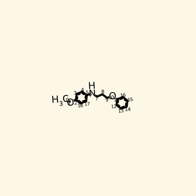 COc1ccc(NCCCOc2ccccc2)cc1